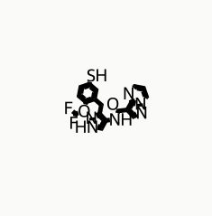 O=C(Nc1c[nH]nc1Cc1cc(S)ccc1OC(F)F)c1cnn2cccnc12